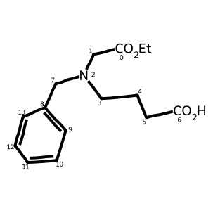 CCOC(=O)CN(CCCC(=O)O)Cc1ccccc1